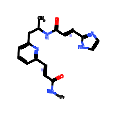 CC(C)NC(=O)/C=C/c1cccc(CC(C)NC(=O)/C=C/c2ncc[nH]2)n1